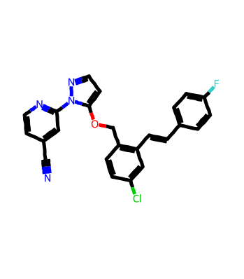 N#Cc1ccnc(-n2nccc2OCc2ccc(Cl)cc2C=Cc2ccc(F)cc2)c1